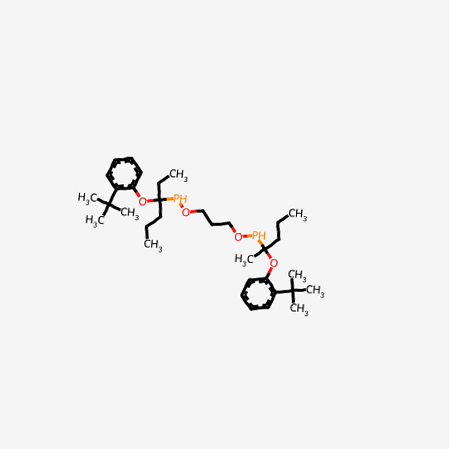 CCCC(C)(Oc1ccccc1C(C)(C)C)POCCCOPC(CC)(CCC)Oc1ccccc1C(C)(C)C